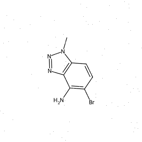 Cn1nnc2c(N)c(Br)ccc21